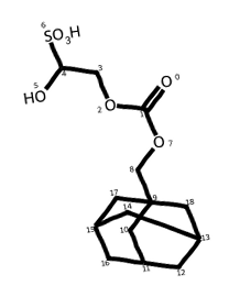 O=C(OCC(O)S(=O)(=O)O)OCC12CC3CC(CC(C3)C1)C2